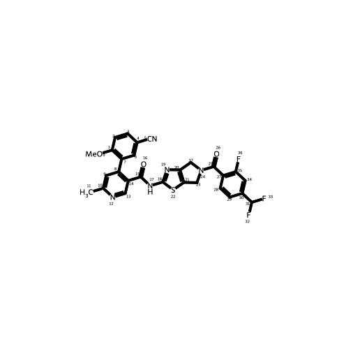 COc1ccc(C#N)cc1-c1cc(C)ncc1C(=O)Nc1nc2c(s1)CN(C(=O)c1ccc(C(F)F)cc1F)C2